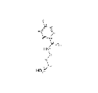 Cc1ccc(C(=O)NCCCC(=O)O)cc1